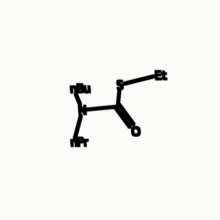 CCCCN(CCC)C(=O)SCC